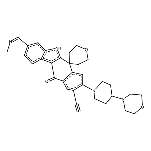 C#Cc1cc2c(cc1N1CCC(N3CCOCC3)CC1)C1(CCOCC1)c1[nH]c3cc(/C=N\C)ccc3c1C2=O